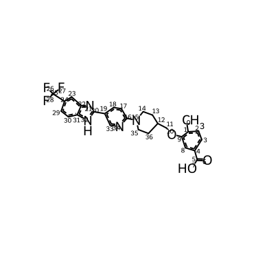 Cc1ccc(C(=O)O)cc1OCC1CCN(c2ccc(-c3nc4cc(C(F)(F)F)ccc4[nH]3)cn2)CC1